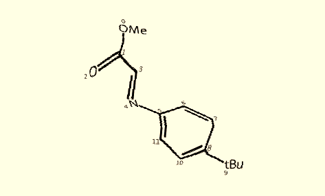 COC(=O)C=Nc1ccc(C(C)(C)C)cc1